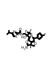 CC(C)c1csc(C(=O)NCC(O)(c2cc3c(c(-c4ccc(F)cc4)n2)OC[C@]3(C)C(N)=O)C(F)(F)F)n1